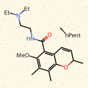 CCCCCC.CCN(CC)CCNC(=O)c1c2c(c(C)c(C)c1OC)OC(C)C=C2